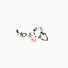 C[C@@H](C(=O)O)[C@@H](O)c1ccccc1